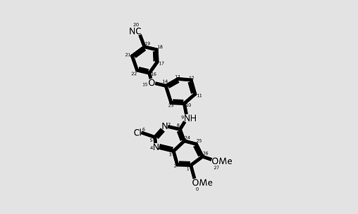 COc1cc2nc(Cl)nc(Nc3cccc(Oc4ccc(C#N)cc4)c3)c2cc1OC